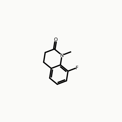 CN1C(=O)CCc2cccc(F)c21